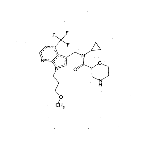 COCCCn1cc(CN(C(=O)C2CNCCO2)C2CC2)c2c(C(F)(F)F)ccnc21